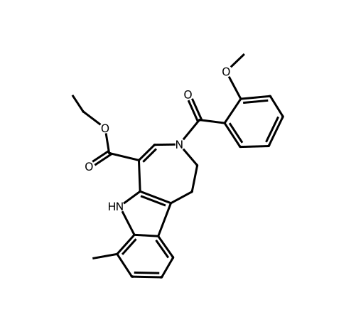 CCOC(=O)C1=CN(C(=O)c2ccccc2OC)CCc2c1[nH]c1c(C)cccc21